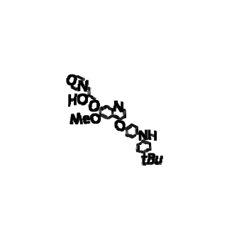 COc1cc2c(Oc3ccc(Nc4ccc(C(C)(C)C)cc4)cc3)ccnc2cc1OC[C@@H](O)CN1CCOCC1